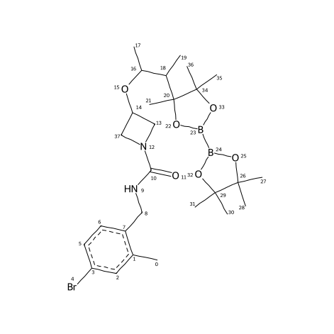 Cc1cc(Br)ccc1CNC(=O)N1CC(OC(C)C(C)C2(C)OB(B3OC(C)(C)C(C)(C)O3)OC2(C)C)C1